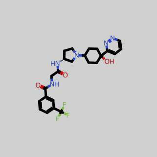 O=C(CNC(=O)c1cccc(C(F)(F)F)c1)N[C@@H]1CCN(C2CCC(O)(c3cccnn3)CC2)C1